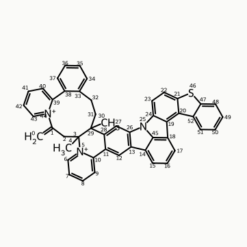 C=C1CC2(C)[n+]3ccccc3-c3cc4c5cccc6c7c8c(ccc7n(c4cc3C2(C)CCc2ccccc2-c2cccc[n+]21)c56)sc1ccccc18